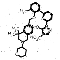 COc1c(C(=O)O)cnn1-c1cccc(-c2cccc(C)c2OCc2ccc3c(c2)C(C)(C)CN(C2CCCOC2)C3)n1